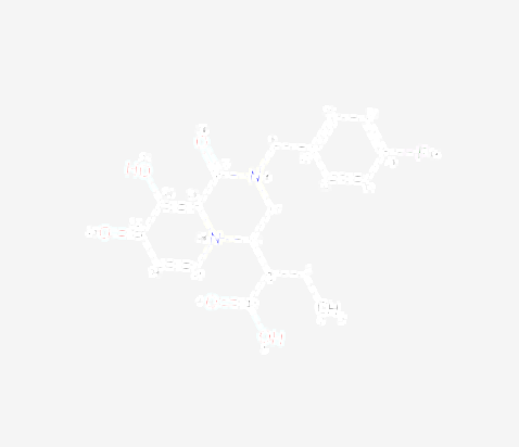 CCC(C(=O)O)C1CN(Cc2ccc(F)cc2)C(=O)c2c(O)c(=O)ccn21